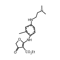 CCOC(=O)C1=C(Nc2ccc(NCCN(C)C)cc2C)OCC1=O